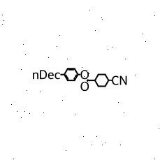 CCCCCCCCCCc1ccc(OC(=O)C2CCC(C#N)CC2)cc1